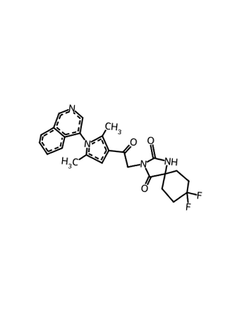 Cc1cc(C(=O)CN2C(=O)NC3(CCC(F)(F)CC3)C2=O)c(C)n1-c1cncc2ccccc12